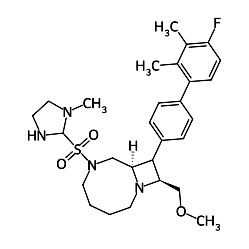 COC[C@@H]1C(c2ccc(-c3ccc(F)c(C)c3C)cc2)[C@@H]2CN(S(=O)(=O)C3NCCN3C)CCCCN12